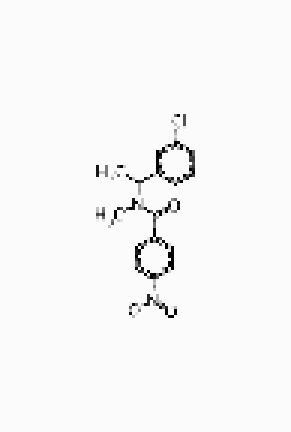 CC(c1cccc(Cl)c1)N(C)C(=O)c1ccc([N+](=O)[O-])cc1